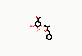 CC(=O)C1=CC(OCC(C)C(=O)CC2CCCCC2)C(O)C(O)C1